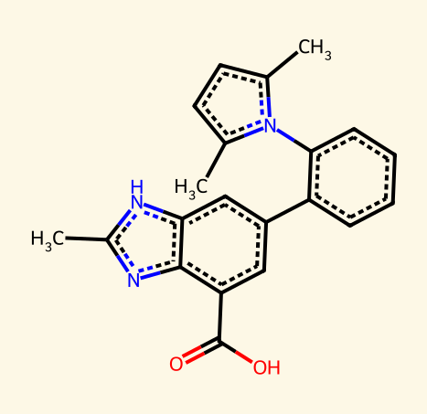 Cc1nc2c(C(=O)O)cc(-c3ccccc3-n3c(C)ccc3C)cc2[nH]1